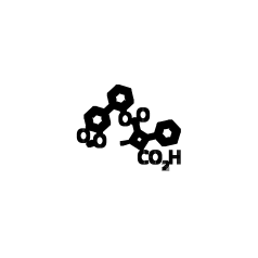 C[C@H]1C(C(=O)Oc2ccccc2-c2ccc3c(c2)OCO3)C(c2ccccc2)[C@@H]1C(=O)O